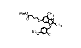 CCOc1ccc(Cn2c(C)nc3c(C)cc(OCCCC(=O)OC)cc32)c(Cl)c1